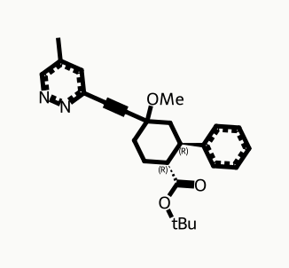 COC1(C#Cc2cc(C)cnn2)CC[C@@H](C(=O)OC(C)(C)C)[C@H](c2ccccc2)C1